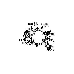 C[C@@H](O)[C@@H]1NC(=O)[C@@H]2Cc3cn(nn3)CCC[C@H](C(=O)N[C@@H](Cc3ccc(O)cc3)C(N)=O)NC(=O)[C@H](CCC(N)=O)NC(=O)C(Cc3ccc(O)c(I)c3)NC(=O)[C@H](CCCNC(N)=O)NC(=O)[C@H](CSSCC(NC(=O)CN)C(=O)N2)NC(=O)[C@H](CCCNC(=N)N)NC(=O)[C@@H]2CCCN2C(=O)[C@H](CC(=O)O)NC1=O